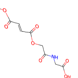 COC(=O)/C=C/C(=O)OCC(=O)NCC(=O)O